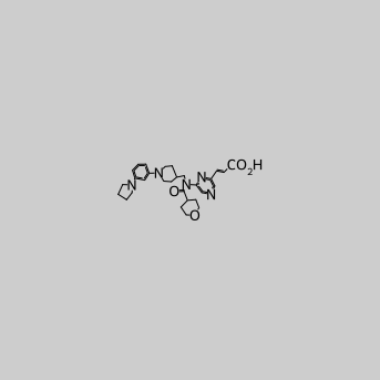 O=C(O)C=Cc1cncc(N(CC2CCN(c3cccc(N4CCCC4)c3)CC2)C(=O)C2CCOCC2)n1